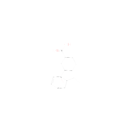 CCC1CC2C=CC1(C1CCCC(C(=O)O)C1)O2